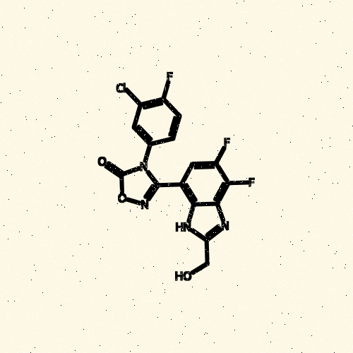 O=c1onc(-c2cc(F)c(F)c3nc(CO)[nH]c23)n1-c1ccc(F)c(Cl)c1